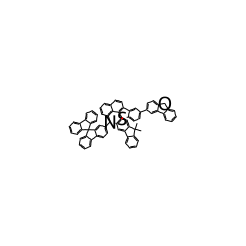 CC1(C)c2ccccc2-c2cc(N(c3ccc4c(c3)C3(c5ccccc5-c5ccccc53)c3ccccc3-4)c3cccc4ccc5c6cc(-c7ccc8oc9ccccc9c8c7)ccc6sc5c34)ccc21